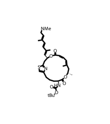 CNC/C=C(C)/C=C/C(C)=C/[C@@H]1Cc2nc(cs2)CCC[C@H](NC(=O)OC(C)(C)C)C(=O)O[C@@H](C)C/C(C)=C/C=C\C(=O)O1